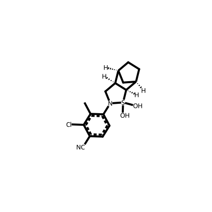 Cc1c(N2C[C@H]3[C@H]4CC[C@H](C4)[C@H]3S2(O)O)ccc(C#N)c1Cl